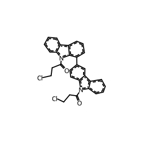 O=C(CCCl)n1c2ccccc2c2cc(-c3cccc4c5ccccc5n(C(=O)CCCl)c34)ccc21